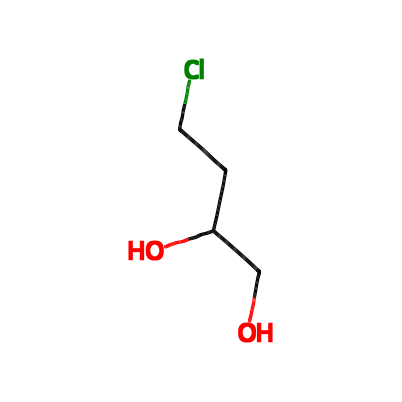 OCC(O)CCCl